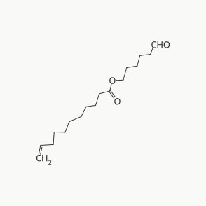 C=CCCCCCCCCC(=O)OCCCCCC=O